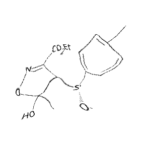 CCOC(=O)C1=NOC(C)(O)C1[S@@+]([O-])c1ccc(C)cc1